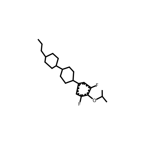 CCCC1CCC(C2CCC(c3cc(F)c(OC(C)C)c(F)c3)CC2)CC1